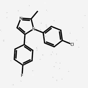 Cc1ncc(-c2ccc(F)cc2)n1-c1ccc(Cl)cc1